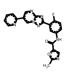 Cc1ncc(C(=O)Nc2ccc(F)c(-c3nc4ncc(-c5ccccn5)cn4n3)c2)o1